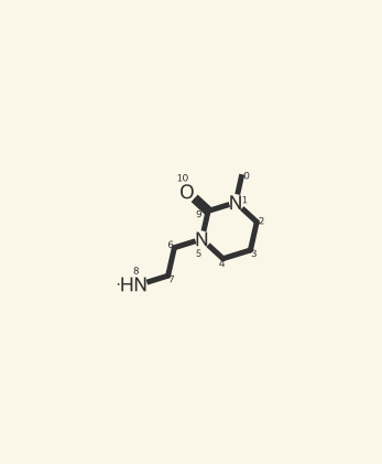 CN1CCCN(CC[NH])C1=O